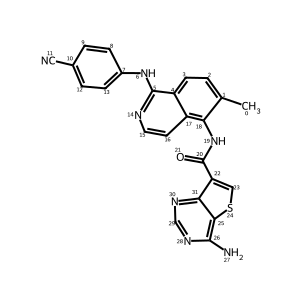 Cc1ccc2c(Nc3ccc(C#N)cc3)nccc2c1NC(=O)c1csc2c(N)ncnc12